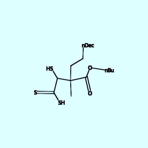 CCCCCCCCCCCCC(C)(C(=O)OCCCC)C(S)C(=S)S